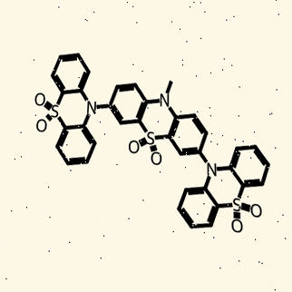 CN1c2ccc(N3c4ccccc4S(=O)(=O)c4ccccc43)cc2S(=O)(=O)c2cc(N3c4ccccc4S(=O)(=O)c4ccccc43)ccc21